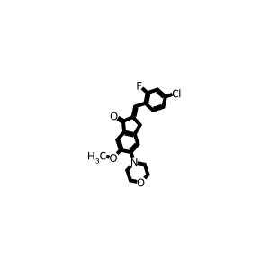 COc1cc2c(cc1N1CCOCC1)CC(=Cc1ccc(Cl)cc1F)C2=O